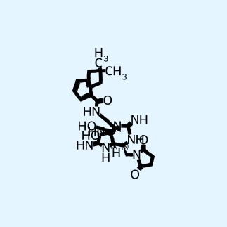 CC1(C)Cc2cccc(C(=O)NC3CN4C(=N)N[C@@H](CN5C(=O)CCC5=O)[C@@H]5NC(=N)NC54C3(O)O)c2C1